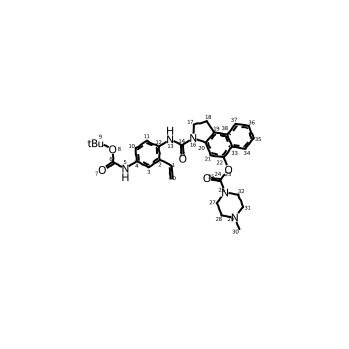 C=Cc1cc(NC(=O)OC(C)(C)C)ccc1NC(=O)N1CCc2c1cc(OC(=O)N1CCN(C)CC1)c1ccccc21